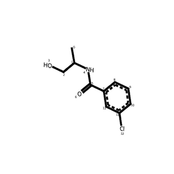 CC(CO)NC(=O)c1cccc(Cl)c1